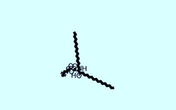 CCCCCCCCCCCCCCC[C@@H](O)[C@H](COP(=O)([O-])OCC[N+](C)(C)C)NC(=O)CCCCCCCCCCCCCC